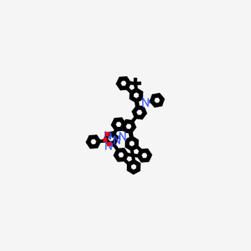 CC1(C)c2ccccc2-c2cc3c4cc(-c5ccc6c(c5)c5cc7c(cc5n6-c5ccccc5)C5(c6ccccc6-c6ccc(-c8nc(-c9ccccc9)nc(-c9ccccc9)n8)cc65)c5ccccc5-7)ccc4n(-c4ccccc4)c3cc21